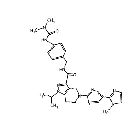 CC(C)n1nc(C(=O)NCc2ccc(NC(=O)N(C)C)cc2)c2c1CCN(c1ncc(-c3nccn3C)cn1)C2